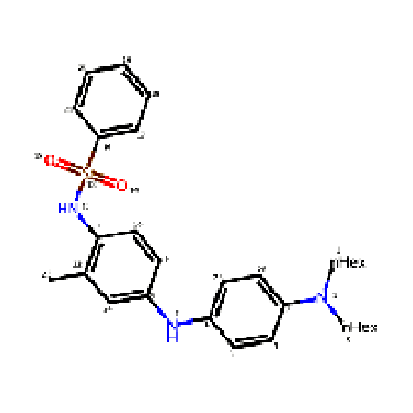 CCCCCCN(CCCCCC)c1ccc(Nc2ccc(NS(=O)(=O)c3ccccc3)c(C)c2)cc1